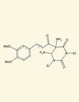 CCN1C(=O)N(CC)C(N)C(N)(C(=O)/C=C/c2ccc(OC)c(OC)c2)C1=O